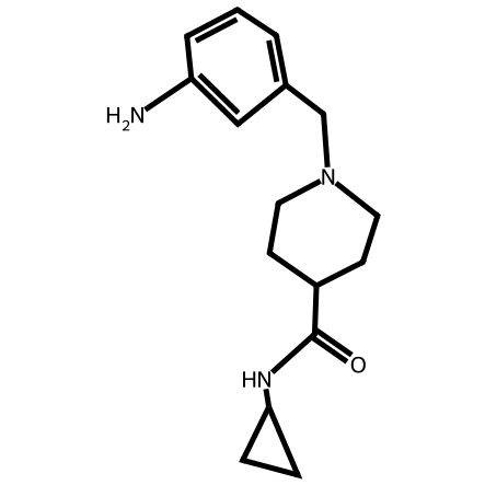 Nc1cccc(CN2CCC(C(=O)NC3CC3)CC2)c1